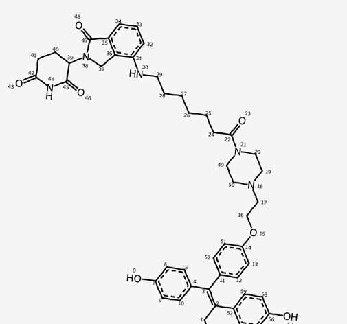 CCC(=C(c1ccc(O)cc1)c1ccc(OCCN2CCN(C(=O)CCCCCCNc3cccc4c3CN(C3CCC(=O)NC3=O)C4=O)CC2)cc1)c1ccc(O)cc1